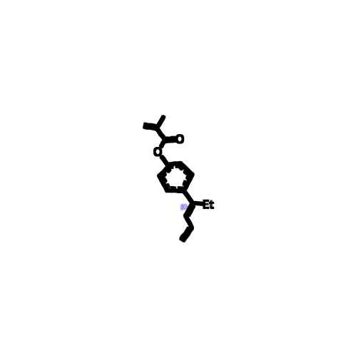 C=C/C=C(\CC)c1ccc(OC(=O)C(=C)C)cc1